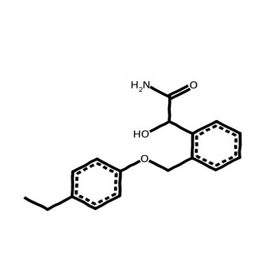 CCc1ccc(OCc2ccccc2C(O)C(N)=O)cc1